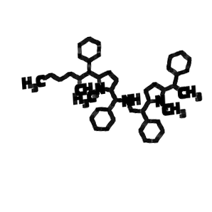 CCCCC(C)C(C1CCCCC1)C1CCC(C(NCC(C2CCCCC2)C2CCC(C(C)C3CCCCC3)N2C)C2CCCCC2)N1C